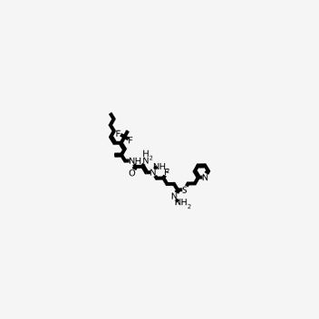 C=C(/C=C(\C=C/CCCC)C(C)(F)F)CNC(=O)/C(N)=C/N(N)CC(F)CC/C(=N/N)SCCc1ccccn1